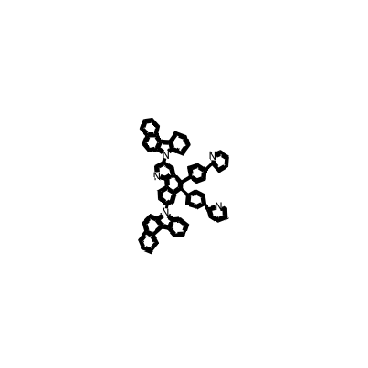 c1ccc(-c2ccc(-c3c(-c4ccc(-c5ccccn5)cc4)c4cc(-n5c6ccccc6c6c7ccccc7ccc65)cnc4c4ccc(-n5c6ccccc6c6c7ccccc7ccc65)cc34)cc2)nc1